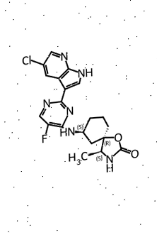 C[C@@H]1NC(=O)O[C@@]12CCC[C@H](Nc1nc(-c3c[nH]c4ncc(Cl)cc34)ncc1F)C2